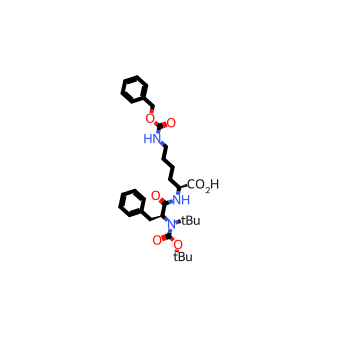 CC(C)(C)OC(=O)N([C@@H](Cc1ccccc1)C(=O)N[C@@H](CCCCNC(=O)OCc1ccccc1)C(=O)O)C(C)(C)C